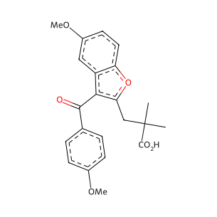 COc1ccc(C(=O)c2c(CC(C)(C)C(=O)O)oc3ccc(OC)cc23)cc1